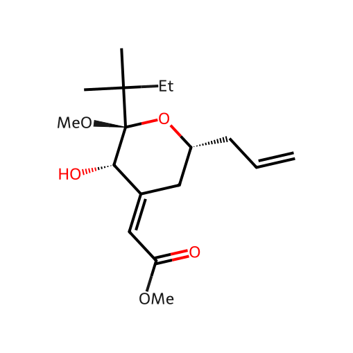 C=CC[C@@H]1C/C(=C\C(=O)OC)[C@H](O)[C@](OC)(C(C)(C)CC)O1